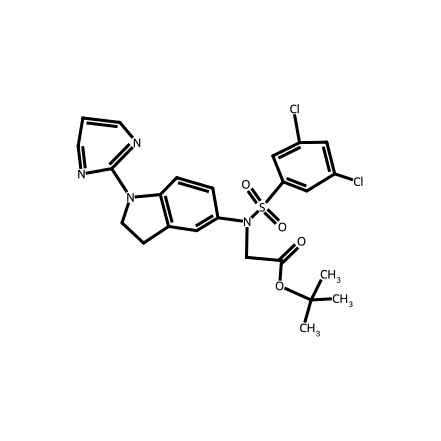 CC(C)(C)OC(=O)CN(c1ccc2c(c1)CCN2c1ncccn1)S(=O)(=O)c1cc(Cl)cc(Cl)c1